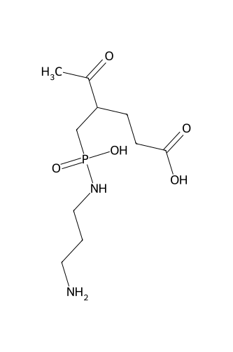 CC(=O)C(CCC(=O)O)CP(=O)(O)NCCCN